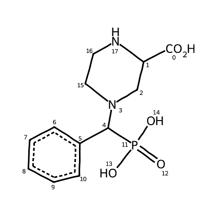 O=C(O)C1CN(C(c2ccccc2)P(=O)(O)O)CCN1